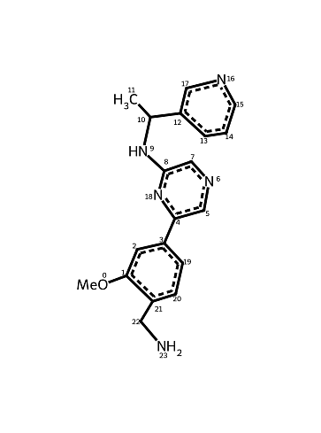 COc1cc(-c2cncc(NC(C)c3cccnc3)n2)ccc1CN